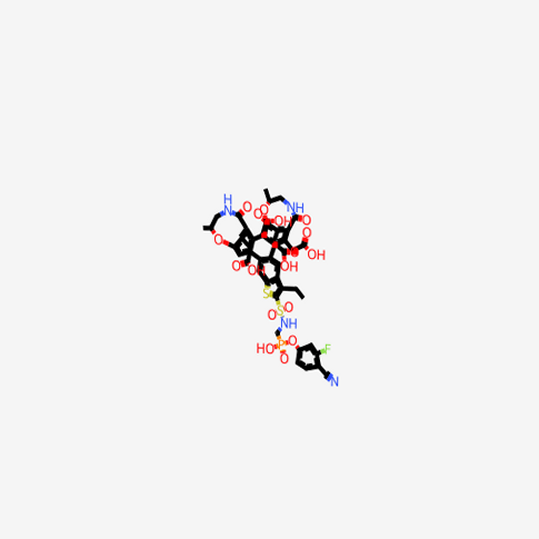 CCc1c(S(=O)(=O)NCP(=O)(O)Oc2ccc(C#N)c(F)c2)sc2cc(-c3cc4c(CC(=O)O)c(c3CC(=O)O)C(=O)NCC(C)O4)c(-c3cc4c(CC(=O)O)c(c3CC(=O)O)C(=O)NCC(C)O4)cc12